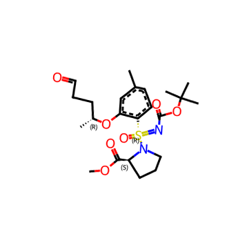 COC(=O)[C@@H]1CCCN1[S@@](=O)(=NC(=O)OC(C)(C)C)c1ccc(C)cc1O[C@H](C)CCC=O